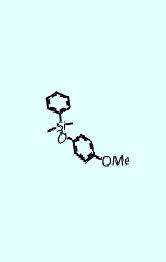 COc1ccc(O[Si](C)(C)c2ccccc2)cc1